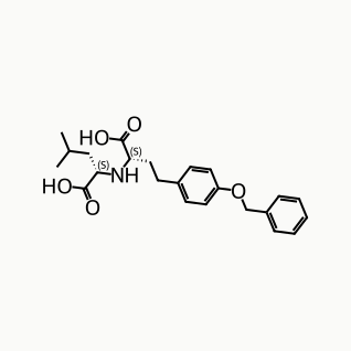 CC(C)C[C@H](N[C@@H](CCc1ccc(OCc2ccccc2)cc1)C(=O)O)C(=O)O